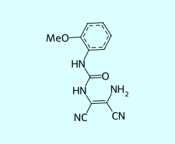 COc1ccccc1NC(=O)NC(C#N)=C(N)C#N